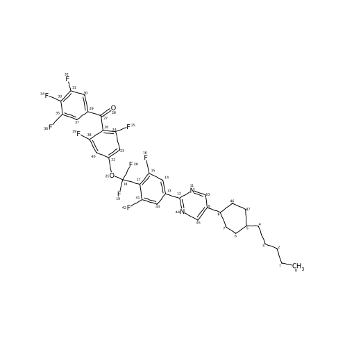 CCCCCC1CCC(c2cnc(-c3cc(F)c(C(F)(F)Oc4cc(F)c(C(=O)c5cc(F)c(F)c(F)c5)c(F)c4)c(F)c3)nc2)CC1